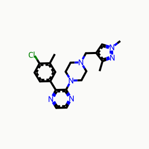 Cc1cc(-c2nccnc2N2CCN(Cc3cn(C)nc3C)CC2)ccc1Cl